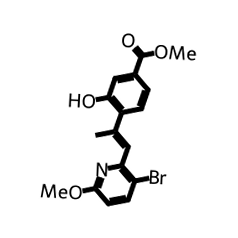 COC(=O)c1ccc(C(C)=Cc2nc(OC)ccc2Br)c(O)c1